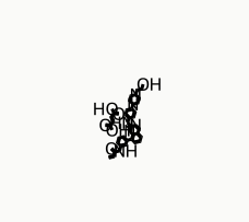 C=CC(=O)Nc1cccc(-c2cccc3cnc(Nc4ccc(N5CCN(CCO)CC5)cc4)nc23)c1.O=C(O)C=CC(=O)O